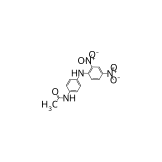 CC(=O)Nc1ccc(Nc2ccc([N+](=O)[O-])cc2[N+](=O)[O-])cc1